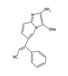 CSc1c(N)nc2ccc(C(=CC#N)c3ccccc3)cn12